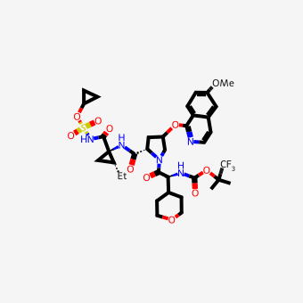 CC[C@@H]1C[C@]1(NC(=O)[C@@H]1CC(Oc2nccc3cc(OC)ccc23)CN1C(=O)[C@@H](NC(=O)OC(C)(C)C(F)(F)F)C1CCOCC1)C(=O)NS(=O)(=O)OC1CC1